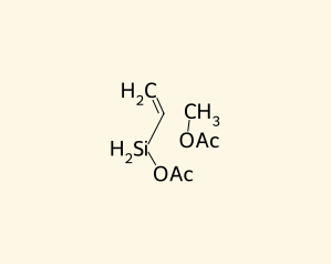 C=C[SiH2]OC(C)=O.COC(C)=O